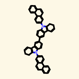 C1=Cc2c(n(-c3ccc4c(ccc5ccccc54)c3)c3ccc(-c4ccc5c(c4)c4c(n5-c5ccc6c(ccc7ccccc76)c5)CCC=C4)cc23)CC1